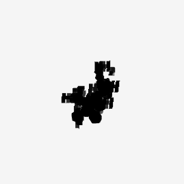 CC(C)(C)C(c1cc(-c2cc(F)ccc2F)cn1Cc1ccccc1)N(C[C@@H]1CNC[C@@H]1F)C(=O)CSCC(NC(=O)CCCCCN)C(=O)O.O=C(O)C(F)(F)F